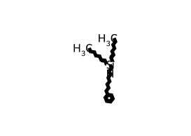 CCCCCC=CC[SiH](CC=CCCCCC)CCCCCCCCc1ccccc1